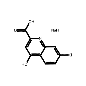 O=C(O)c1cc(O)c2ccc(Cl)cc2n1.[NaH]